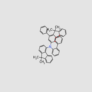 CC1(C)c2ccccc2-c2c(N(c3cc(-c4ccccc4)c4c(c3)-c3ccccc3C4(C)C)c3ccccc3-c3ccccc3)cccc21